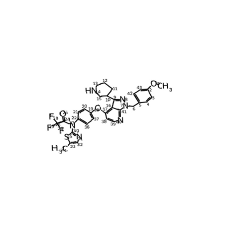 COc1ccc(Cn2nc(C3CCCNC3)c3c(Oc4ccc(N(C(=O)C(F)(F)F)c5ncc(C)s5)cc4)ccnc32)cc1